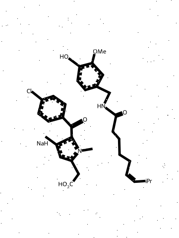 COc1cc(CNC(=O)CCCC/C=C\C(C)C)ccc1O.Cc1cc(CC(=O)O)n(C)c1C(=O)c1ccc(Cl)cc1.[NaH]